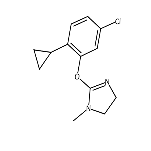 CN1CCN=C1Oc1cc(Cl)ccc1C1CC1